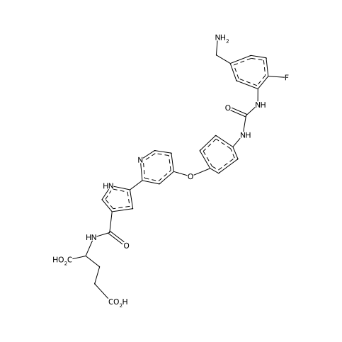 NCc1ccc(F)c(NC(=O)Nc2ccc(Oc3ccnc(-c4cc(C(=O)NC(CCC(=O)O)C(=O)O)c[nH]4)c3)cc2)c1